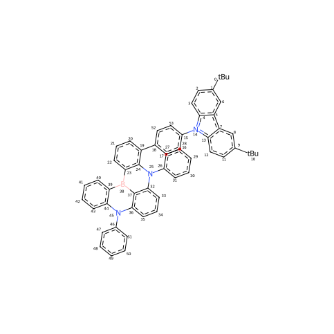 CC(C)(C)c1ccc2c(c1)c1cc(C(C)(C)C)ccc1n2-c1ccc(-c2cccc3c2N(c2ccccc2)c2cccc4c2B3c2ccccc2N4c2ccccc2)cc1